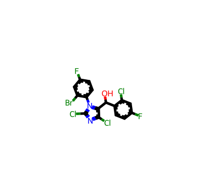 OC(c1ccc(F)cc1Cl)c1c(Cl)nc(Cl)n1-c1ccc(F)cc1Br